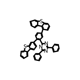 c1ccc(-c2nc(-c3ccccc3)nc(-c3cc(-c4cccc5sc6ccccc6c45)ccc3-c3ccc4c(c3)sc3ccccc34)n2)cc1